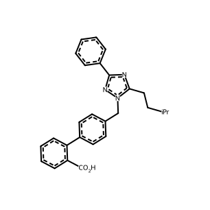 CC(C)CCc1nc(-c2ccccc2)nn1Cc1ccc(-c2ccccc2C(=O)O)cc1